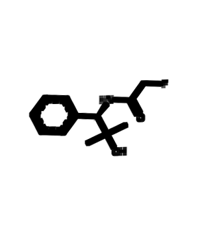 CC(C)(O)[C@H](NC(=O)CF)c1ccccc1